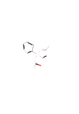 C=C[Si](OCC)(OC(C)=O)c1ccccc1